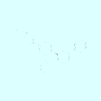 CC(C)N[C@@H]1CN(C(=O)OC(C)(C)C)CC[C@H]1c1cccc(-c2ccccc2)c1